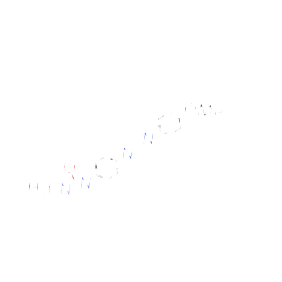 COc1ccc(N2CCN(c3ccc(N4CCN(C)C4=O)cc3)CC2)cc1